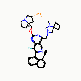 C#Cc1cccc2cccc(-c3ncc4c(CNCC5(N(C)C)CCC5)nc(OC[C@@]56CCCN5C[C@H](P)C6)nc4c3F)c12